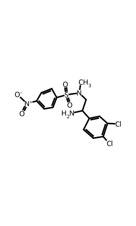 CN(CC(N)c1ccc(Cl)c(Cl)c1)S(=O)(=O)c1ccc([N+](=O)[O-])cc1